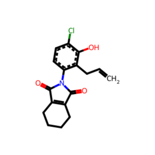 C=CCc1c(N2C(=O)C3=C(CCCC3)C2=O)ccc(Cl)c1O